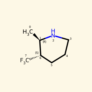 C[C@H]1NCCC[C@@H]1C(F)(F)F